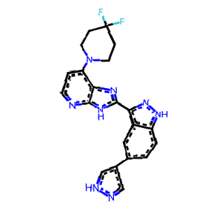 FC1(F)CCN(c2ccnc3[nH]c(-c4n[nH]c5ccc(-c6cn[nH]c6)cc45)nc23)CC1